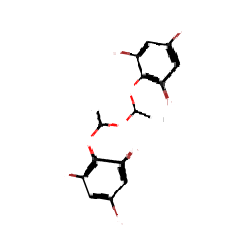 CC(Oc1c(Br)cc(Br)cc1Br)OC(C)Oc1c(Br)cc(Br)cc1Br